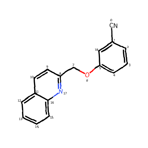 N#Cc1cccc(OCc2ccc3ccccc3n2)c1